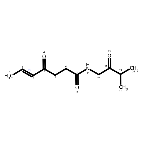 C/C=C/C(=O)CCC(=O)NCC(=O)C(C)C